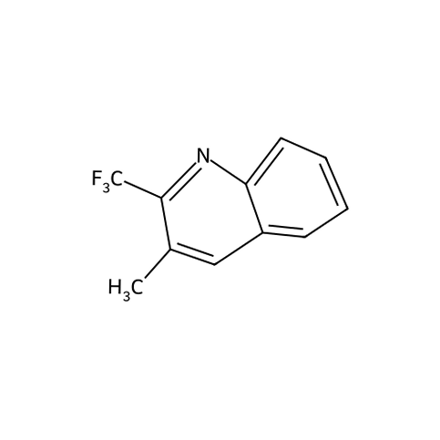 Cc1cc2ccccc2nc1C(F)(F)F